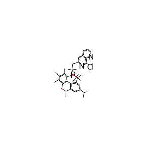 Cc1c(C)c(C)c(P(C(C)(C)C)C(C)(C)Cc2cc3cccnc3c(Cl)n2)c(-c2c(C(C)C)cc(C(C)C)cc2C(C)C)c1C